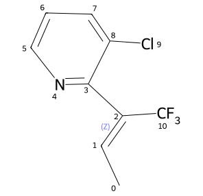 C/C=C(/c1ncccc1Cl)C(F)(F)F